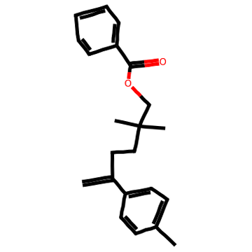 C=C(CCC(C)(C)COC(=O)c1ccccc1)c1ccc(C)cc1